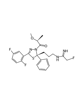 CO[C@@H](C)C(=O)N1N=C(c2cc(F)ccc2F)S[C@@]1(CCCNC(=N)CF)c1ccccc1